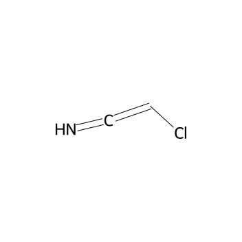 N=C=CCl